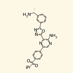 CC(C)S(=O)(=O)c1ccc(-c2cnc(N)c(-c3nnc(-c4cccc([C@@H](C)N)c4)o3)n2)cc1